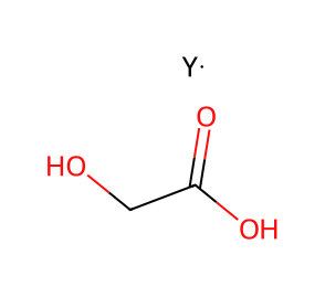 O=C(O)CO.[Y]